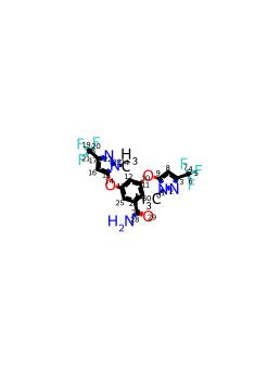 Cn1nc(C(F)(F)F)cc1Oc1cc(Oc2cc(C(F)(F)F)nn2C)cc(C(N)=O)c1